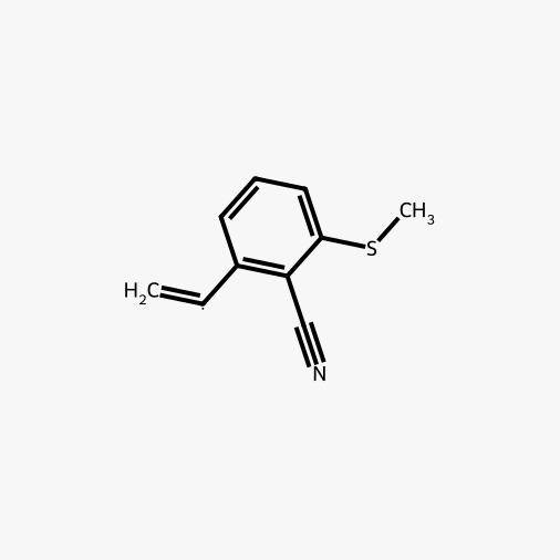 C=[C]c1cccc(SC)c1C#N